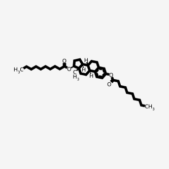 CCCCCCCCCC(=O)Oc1ccc2c(c1)CC[C@@H]1[C@@H]2CC[C@]2(C)[C@@H](OC(=O)CCCCCCCCC)CC[C@@H]12